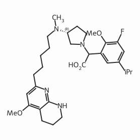 COc1cc(CCCCCN(C)[C@@H]2CCN(C(C(=O)O)c3cc(C(C)C)cc(F)c3OC)C2)nc2c1CCCN2